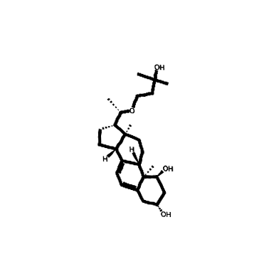 C[C@H](OCCC(C)(C)O)[C@H]1CC[C@H]2C3=CC=C4C[C@@H](O)C[C@H](O)[C@]4(C)[C@H]3CC[C@]12C